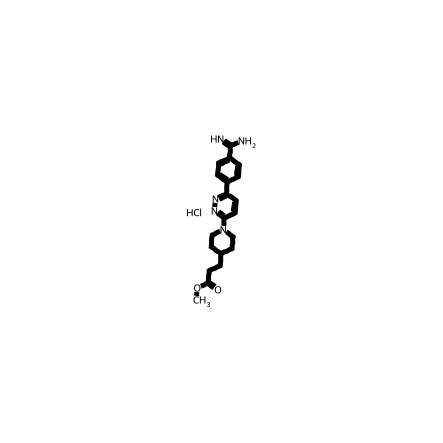 COC(=O)CCC1CCN(c2ccc(-c3ccc(C(=N)N)cc3)nn2)CC1.Cl